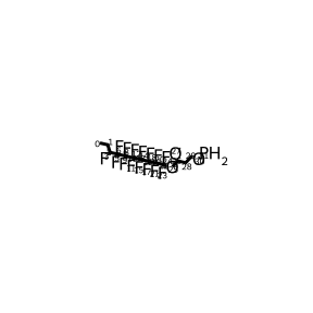 CCC(F)C(F)(F)C(F)(F)C(F)(F)C(F)(F)C(F)(F)C(F)(F)C(F)(F)OC(=O)CCOP